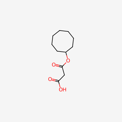 O=C(O)CC(=O)OC1CCCCCCC1